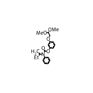 C=C(CC)N(C(=O)Oc1cccc(OCC(OC)OC)c1)c1ccccc1